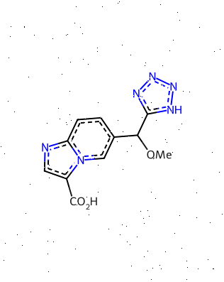 COC(c1ccc2ncc(C(=O)O)n2c1)c1nnn[nH]1